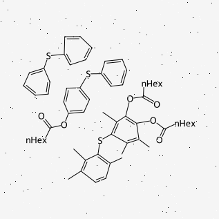 CCCCCCC(=O)Oc1c(C)c(C)c(Sc2c(C)ccc(C)c2C)c(C)c1OC(=O)CCCCCC.CCCCCCC(=O)Oc1ccc(Sc2cc[c]cc2)cc1.[c]1ccc(Sc2cc[c]cc2)cc1